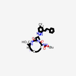 CC(C)(C)OC(=O)N[C@H]1CCCCC/C=C\[C@@H]2C[C@@]2(C(=O)O)NC(=O)[C@@H]2C[C@H](n3nc4cc(C(F)(F)F)cc(/C=C/c5ccccc5)c4n3)CN2C1=O